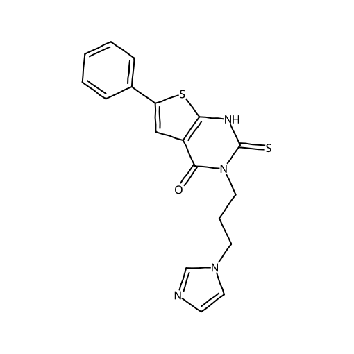 O=c1c2cc(-c3ccccc3)sc2[nH]c(=S)n1CCCn1ccnc1